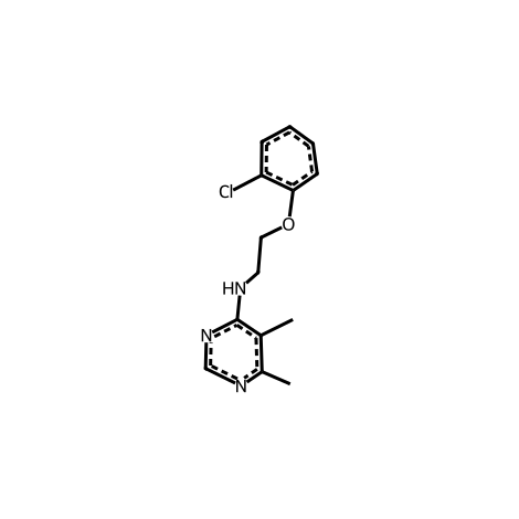 Cc1ncnc(NCCOc2ccccc2Cl)c1C